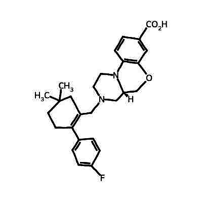 CC1(C)CCC(c2ccc(F)cc2)=C(CN2CCN3c4ccc(C(=O)O)cc4OC[C@@H]3C2)C1